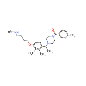 CCCNCCCCOc1ccc(C(C)N2CCN(C(=O)c3ccc(C(F)(F)F)cc3)CC2)c(C)c1C